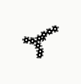 CC1(C)c2cc(-c3ccc(-c4ccccc4)cc3)ccc2-c2ccc(N(c3ccc(-c4ccccc4)cc3)c3ccc(-c4ccc5ccccc5c4)cc3)cc21